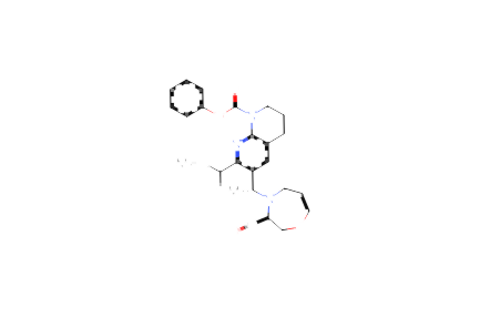 COC(OC)c1nc2c(cc1CN1CC=COCC1=C=O)CCCN2C(=O)Oc1ccccc1